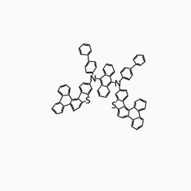 c1ccc(-c2ccc(N(c3ccc4c(c3)sc3ccc5c6ccccc6c6ccccc6c5c34)c3c4ccccc4c(N(c4ccc(-c5ccccc5)cc4)c4ccc5c(c4)sc4ccc6c7ccccc7c7ccccc7c6c45)c4ccccc34)cc2)cc1